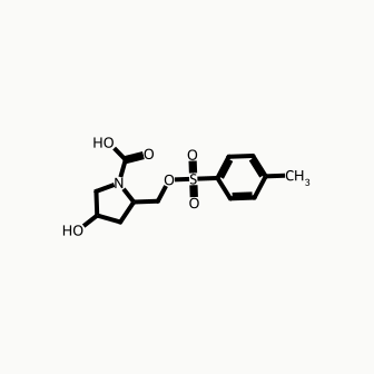 Cc1ccc(S(=O)(=O)OCC2CC(O)CN2C(=O)O)cc1